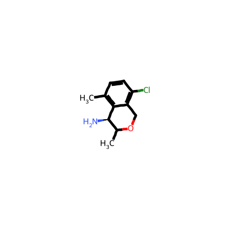 Cc1ccc(Cl)c2c1[C@H](N)C(C)OC2